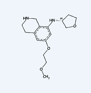 COCCOc1cc2c(c(N[C@@H]3CCOC3)c1)CNCC2